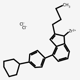 CCCCC1=Cc2c(-c3ccc(C4CCCCC4)cc3)cccc2[CH]1[Zr+2].[Cl-].[Cl-]